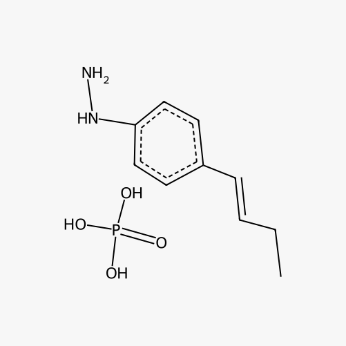 CCC=Cc1ccc(NN)cc1.O=P(O)(O)O